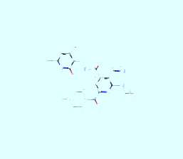 Cc1cc(C)c(CNC(=O)c2cc(C(=O)N3CCN(C)CC3)nc(NC(C)C)c2C=N)c(=O)[nH]1